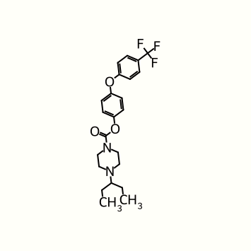 CCC(CC)N1CCN(C(=O)Oc2ccc(Oc3ccc(C(F)(F)F)cc3)cc2)CC1